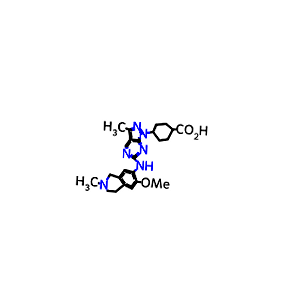 COc1cc2c(cc1Nc1ncc3c(C)nn(C4CCC(C(=O)O)CC4)c3n1)CN(C)CC2